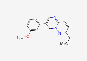 CNCC1=NN2CC(c3cccc(OC(F)(F)F)c3)=CN=C2C=C1